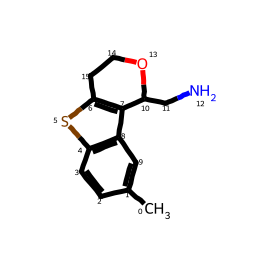 Cc1ccc2sc3c(c2c1)C(CN)OCC3